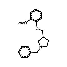 COc1ccccc1OCC1CCN(Cc2ccccc2)C1